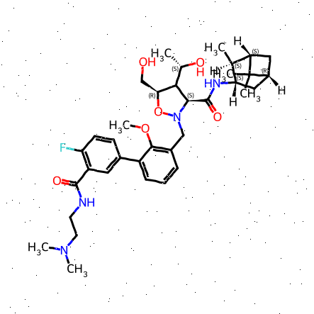 COc1c(CN2O[C@@H](CO)C([C@H](C)O)[C@H]2C(=O)N[C@H]2C[C@H]3C[C@@H]([C@@H]2C)C3(C)C)cccc1-c1ccc(F)c(C(=O)NCCN(C)C)c1